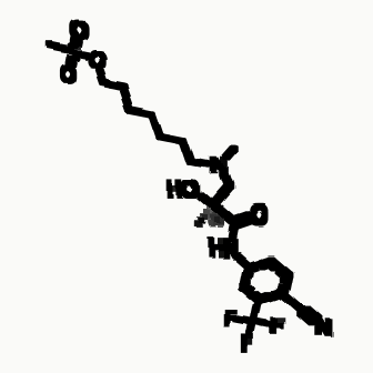 CN(CCCCCCCOS(C)(=O)=O)C[C@](C)(O)C(=O)Nc1ccc(C#N)c(C(F)(F)F)c1